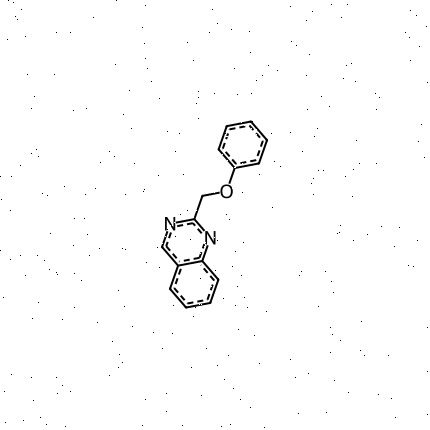 c1ccc(OCc2ncc3ccccc3n2)cc1